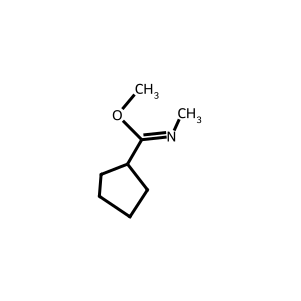 C/N=C(\OC)C1CCCC1